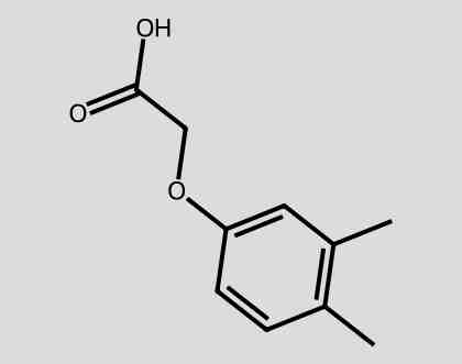 Cc1ccc(OCC(=O)O)cc1C